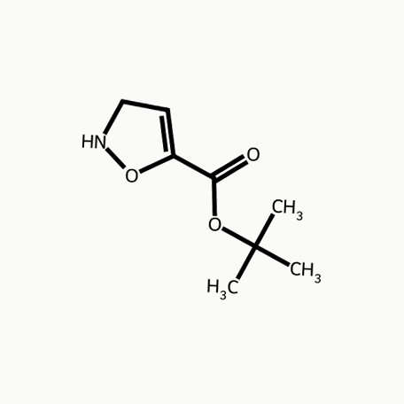 CC(C)(C)OC(=O)C1=CCNO1